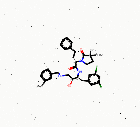 COc1cccc(CNC[C@H](O)[C@H](Cc2cc(F)cc(F)c2)NC(=O)[C@H](CCc2ccccc2)N2CCC(NC(C)=O)(C(C)C)C2=O)c1